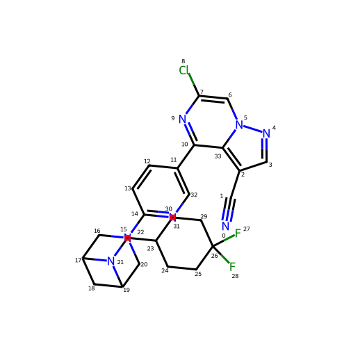 N#Cc1cnn2cc(Cl)nc(-c3ccc(N4CC5CC(C4)N5CC4CCC(F)(F)CC4)nc3)c12